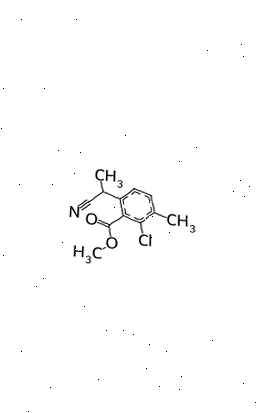 COC(=O)c1c(C(C)C#N)ccc(C)c1Cl